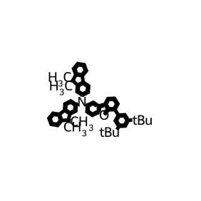 CC(C)(C)c1cc(-c2cccc3c2oc2ccc(N(c4ccc5c(c4)C(C)(C)c4ccccc4-5)c4ccc5c(c4)C(C)(C)c4ccccc4-5)cc23)cc(C(C)(C)C)c1